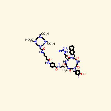 CN1C(=O)[C@@H](Cc2ccc(O)c(I)c2)NC(=O)CNC(=O)[C@H](Cc2ccc3ccccc3c2)NC(=O)[C@H](CCCNC(=N)N)NC(=O)[C@H]1CCCNC(=O)c1ccc(NC(=O)CCCCNC(=O)CN2CCN(CC(=O)O)CCN(CC(=O)O)CCN(CC(=O)O)CC2)cc1